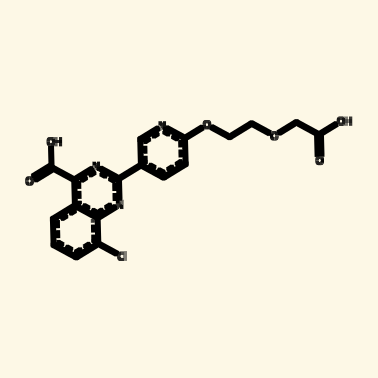 O=C(O)COCCOc1ccc(-c2nc(C(=O)O)c3cccc(Cl)c3n2)cn1